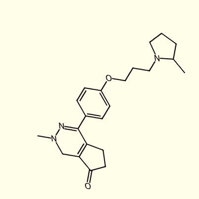 CC1CCCN1CCCOc1ccc(C2=NN(C)CC3=C2CCC3=O)cc1